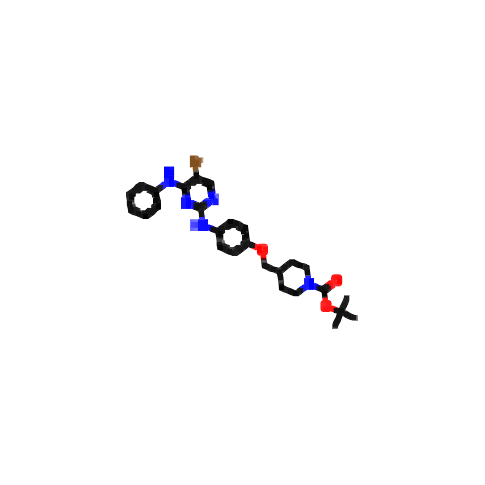 CC(C)(C)OC(=O)N1CCC(COc2ccc(Nc3ncc(Br)c(Nc4ccccc4)n3)cc2)CC1